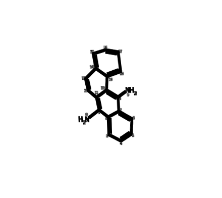 Nc1c2ccccc2c(N)c2c1ccc1ccccc12